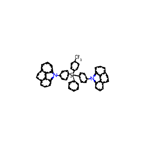 FC(F)(F)c1ccc([Si](c2ccccc2)(c2ccc(-n3c4cccc5ccc6cccc3c6c54)cc2)c2ccc(-n3c4cccc5ccc6cccc3c6c54)cc2)cc1